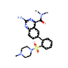 CCN(CC)C(=O)c1nc(N)nc2ccc(-c3ccccc3S(=O)(=O)N3CCN(C)CC3)cc12